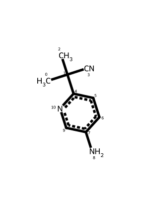 CC(C)(C#N)c1ccc(N)cn1